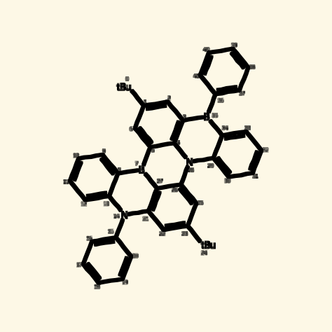 CC(C)(C)c1cc2c3c(c1)B1c4ccccc4N(c4ccccc4)c4cc(C(C)(C)C)cc(c41)N3c1ccccc1B2c1ccccc1